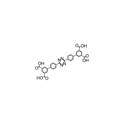 O=C(O)c1cc(C(=O)O)cc(-c2ccc(-c3nnc(-c4ccc(-c5cc(C(=O)O)cc(C(=O)O)c5)cc4)nn3)cc2)c1